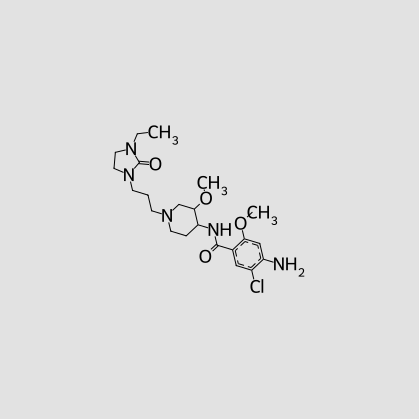 CCN1CCN(CCCN2CCC(NC(=O)c3cc(Cl)c(N)cc3OC)C(OC)C2)C1=O